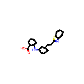 O=C(O)c1ccccc1Nc1cccc(C=Cc2nc3ccccc3s2)c1